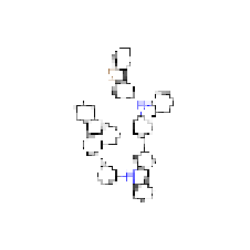 c1cc(-c2ccc3c4c(cccc24)-c2ccccc2-3)cc(-n2c3ccccc3c3ccc(-c4ccc5c(c4)c4ccccc4n5-c4ccc5sc6ccccc6c5c4)cc32)c1